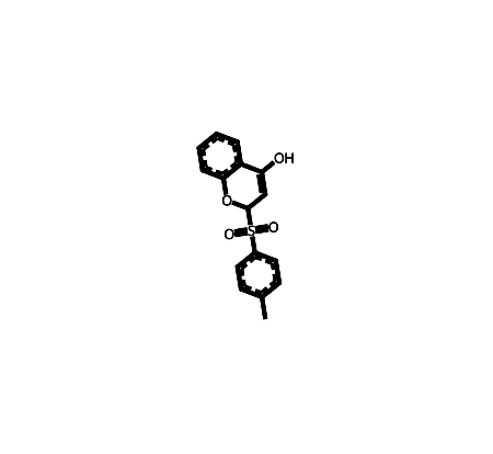 Cc1ccc(S(=O)(=O)C2C=C(O)c3ccccc3O2)cc1